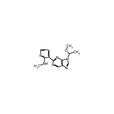 CNc1ncccc1-c1ncc2ncn(C(C)OC)c2n1